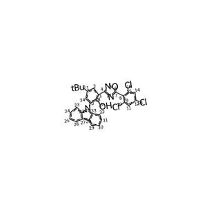 CC(C)(C)c1cc(-c2noc(-c3c(Cl)cc(Cl)cc3Cl)n2)c(O)c(-n2c3ccccc3c3ccccc32)c1